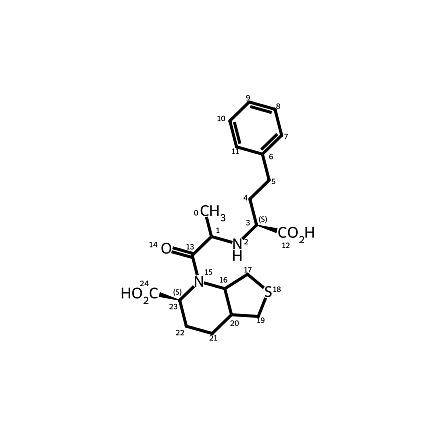 CC(N[C@@H](CCc1ccccc1)C(=O)O)C(=O)N1C2CSCC2CC[C@H]1C(=O)O